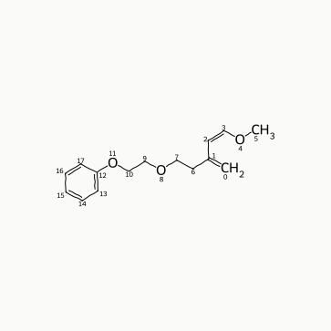 C=C(/C=C\OC)CCOCCOc1ccccc1